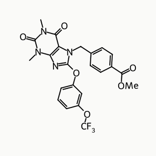 COC(=O)c1ccc(Cn2c(Oc3cccc(OC(F)(F)F)c3)nc3c2c(=O)n(C)c(=O)n3C)cc1